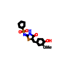 COc1cc(C=C2SC(=NS(=O)(=O)c3ccccc3)NC2=O)ccc1O